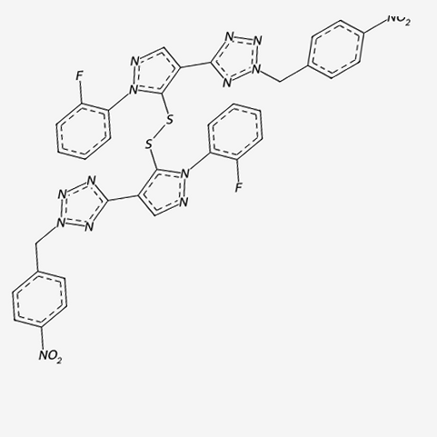 O=[N+]([O-])c1ccc(Cn2nnc(-c3cnn(-c4ccccc4F)c3SSc3c(-c4nnn(Cc5ccc([N+](=O)[O-])cc5)n4)cnn3-c3ccccc3F)n2)cc1